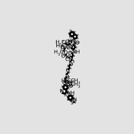 CNC(=O)OC(C)C(=O)NC(C(=O)N1C[C@@H](NC(=O)COCCOCCOCCOCCOc2cc3nccc(Nc4ccc5scnc5c4)c3cc2S(=O)(=O)C(C)(C)C)C[C@H]1C(=O)N[C@@H]1CCc2ccccc21)C(C)(C)C